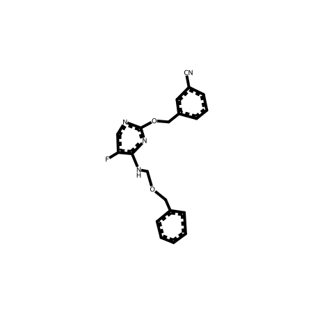 N#Cc1cccc(COc2ncc(F)c(NCOCc3ccccc3)n2)c1